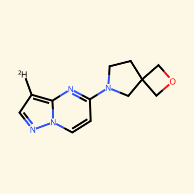 [2H]c1cnn2ccc(N3CCC4(COC4)C3)nc12